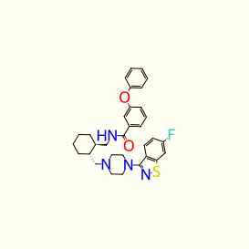 O=C(NC[C@@H]1CCCC[C@H]1CN1CCN(c2nsc3cc(F)ccc23)CC1)c1cccc(Oc2ccccc2)c1